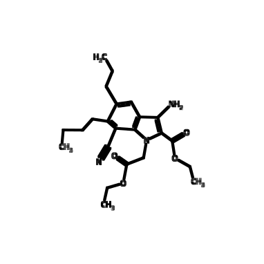 CCCCc1c(CCC)cc2c(N)c(C(=O)OCC)n(CC(=O)OCC)c2c1C#N